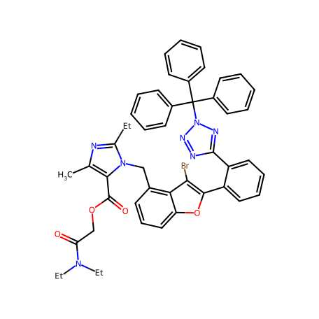 CCc1nc(C)c(C(=O)OCC(=O)N(CC)CC)n1Cc1cccc2oc(-c3ccccc3-c3nnn(C(c4ccccc4)(c4ccccc4)c4ccccc4)n3)c(Br)c12